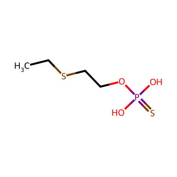 CCSCCOP(O)(O)=S